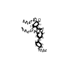 CNc1ccc(-c2ccn3cc(-c4cc(Cl)c(OC)cc4OC)nc3c2)cc1